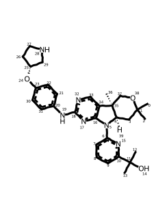 CC1(C)C[C@H]2N(c3cccc(C(C)(C)O)n3)c3nc(Nc4ccc(O[C@@H]5CCNC5)cc4)ncc3[C@@]2(C)CO1